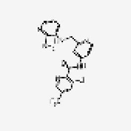 Nc1ncccc1NCc1cc(NC(=O)c2ncc(C(F)(F)F)cc2Cl)ccn1